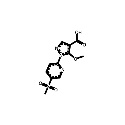 COc1c(C(=O)O)cnn1-c1ccc(S(C)(=O)=O)cn1